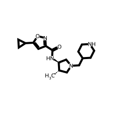 C[C@H]1CN(CC2CCNCC2)C[C@@H]1NC(=O)c1cc(C2CC2)on1